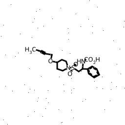 CC#CCOC1CCN(S(=O)(=O)CC(NC(=O)O)c2ccccc2)CC1